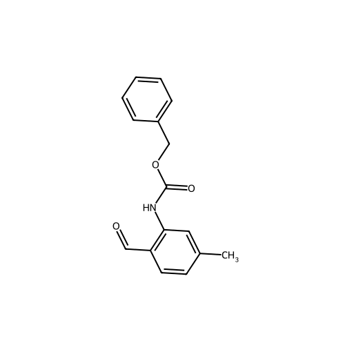 Cc1ccc(C=O)c(NC(=O)OCc2ccccc2)c1